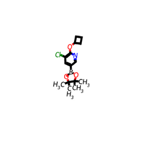 CC1(C)OB(c2cnc(OC3CCC3)c(Cl)c2)OC1(C)C